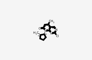 Cc1cc(=O)n([C@@H]2CCC[C@@H]2C)c2nc(Cl)ncc12